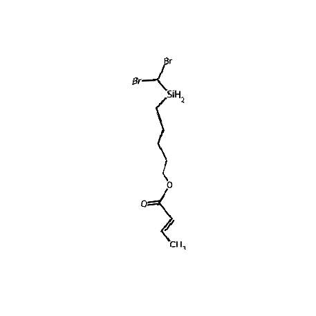 CC=CC(=O)OCCCCC[SiH2]C(Br)Br